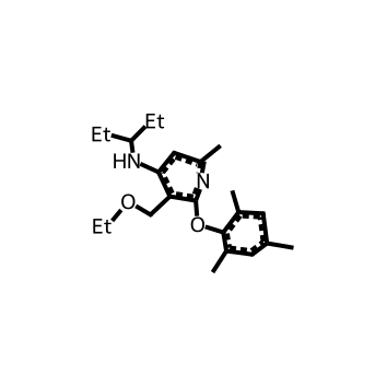 CCOCc1c(NC(CC)CC)cc(C)nc1Oc1c(C)cc(C)cc1C